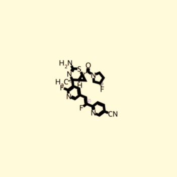 C[C@]1(c2cc(/C=C(\F)c3ccc(C#N)cn3)cnc2F)N=C(N)S[C@@]2(C(=O)N3CC[C@H](F)C3)C[C@H]21